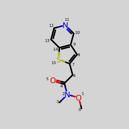 CON(C)C(=O)Cc1cc2cnccc2s1